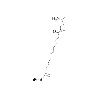 CCCCCC1OC1CC=CCCCCCCCC(=O)NCCC(C)N